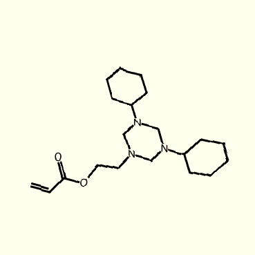 C=CC(=O)OCCN1CN(C2CCCCC2)CN(C2CCCCC2)C1